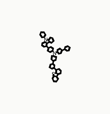 c1ccc(-c2ccc(N(c3ccc(-c4cccc(-c5cccc6c5sc5ccccc56)c4)cc3)c3ccc(-c4cccc5c4c4ccccc4n5-c4ccccc4)cc3)cc2)cc1